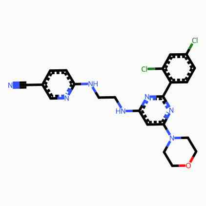 N#Cc1ccc(NCCNc2cc(N3CCOCC3)nc(-c3ccc(Cl)cc3Cl)n2)nc1